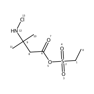 CCS(=O)(=O)OC(=O)CC(C)(C)NCl